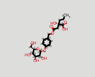 CCC[C@](O)(CC(=O)OCc1ccc(O[C@@H]2O[C@H](CO)[C@@H](O)[C@H](O)[C@H]2O)cc1)C(=O)O